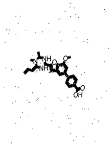 C=C/C=C(/N)N(C)C(C)NCc1cc2cc(-c3ccc(C(=O)O)cc3)cc(OC)c2o1